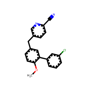 COc1ccc(Cc2ccc(C#N)nc2)cc1-c1cccc(Cl)c1